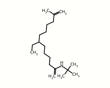 C=C(C)CCCCC(CC)CCCCC(=C)NC(C)(C)C